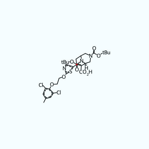 Cc1cc(Cl)c(OCCOc2ncc(C3=C(C(=O)O)[C@H]4CN(C(=O)OC(C)(C)C)CC(C3)N4C(=O)OC(C)(C)C)s2)c(Cl)c1